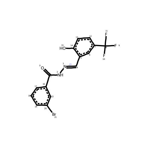 O=C(N/N=C/c1cc(C(F)(F)F)ccc1O)c1cccc(Br)c1